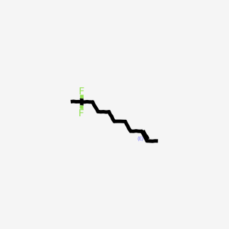 C/C=C/CCCCCCC(C)(F)F